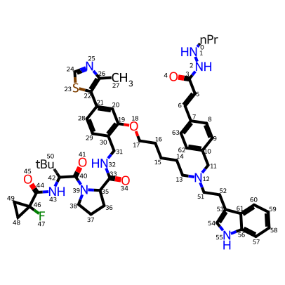 CCCNNC(=O)/C=C/c1ccc(CN(CCCCCOc2cc(-c3scnc3C)ccc2CNC(=O)C2CCCN2C(=O)C(NC(=O)C2(F)CC2)C(C)(C)C)CCc2c[nH]c3ccccc23)cc1